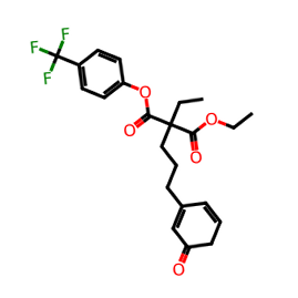 CCOC(=O)C(CC)(CCCC1=CC(=O)CC=C1)C(=O)Oc1ccc(C(F)(F)F)cc1